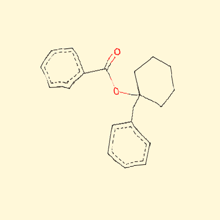 O=C(OC1(c2ccccc2)CCCCC1)c1ccccc1